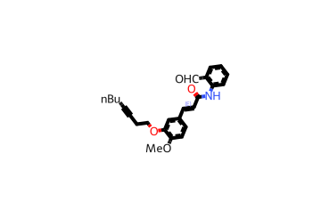 CCCCC#CCCOc1cc(/C=C/C(=O)Nc2ccccc2C=O)ccc1OC